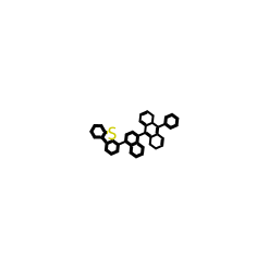 C1=CCC2C(=C1)C(c1ccc(-c3cccc4c3sc3ccccc34)c3ccccc13)=C1CCC=CC1=C2c1ccccc1